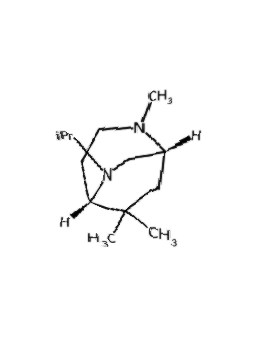 CC(C)N1C[C@H]2CC(C)(C)[C@@H]1CCN2C